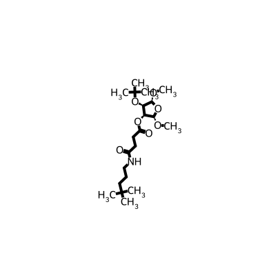 CO[C@H]1O[C@@H](OC)[C@H](OC(C)(C)C)[C@@H]1OC(=O)CCC(=O)NCCCC(C)(C)C